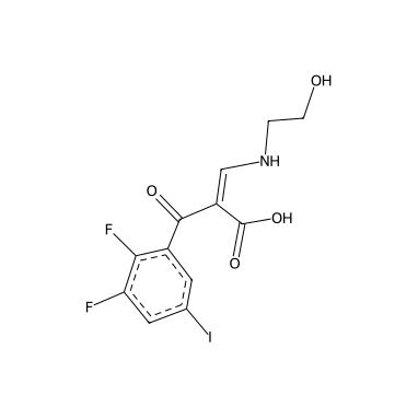 O=C(O)C(=CNCCO)C(=O)c1cc(I)cc(F)c1F